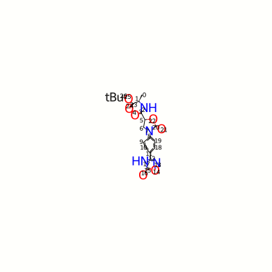 C[C@@H](NC(=O)C1CN(c2ccc(-c3noc(=O)[nH]3)cc2)C(=O)O1)C(=O)OC(C)(C)C